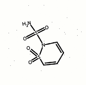 NS(=O)(=O)N1C=CC=CS1(=O)=O